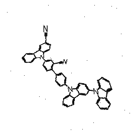 N#Cc1ccc2c(c1)c1ccccc1n2-c1ccc(-c2ccc(-n3c4ccccc4c4cc(-n5c6ccccc6c6ccccc65)ccc43)cc2)c(C#N)c1